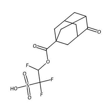 O=C1C2CC3CC1CC(C(=O)OC(F)C(F)(F)S(=O)(=O)O)(C3)C2